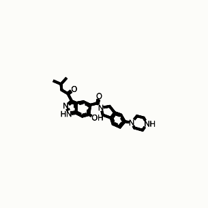 CC(C)CC(=O)c1n[nH]c2cc(O)c(C(=O)N3Cc4ccc(N5CCNCC5)cc4C3)cc12